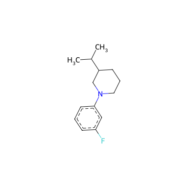 CC(C)C1CCCN(c2cccc(F)c2)C1